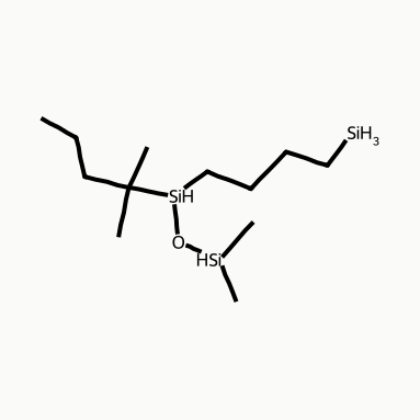 CCCC(C)(C)[SiH](CCCC[SiH3])O[SiH](C)C